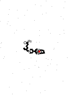 C=CC(CCCC(=O)C(C)C)CN1CCC(c2cnc(N3C4CCC3CN(C)C4)nc2)CC1